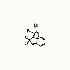 O=S1(=O)C=C2C=CC=CC23CC=C(Br)C(F)=C31